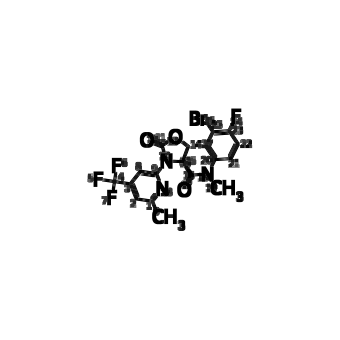 Cc1cc(C(F)(F)F)cc(N2C(=O)OC[C@H]2C(=O)N(C)c2ccc(F)c(Br)c2)n1